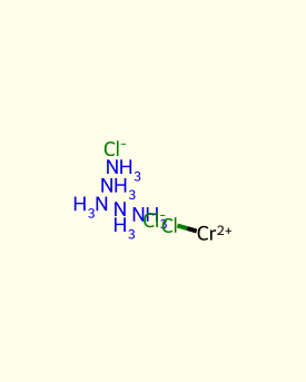 N.N.N.N.N.[Cl-].[Cl-].[Cl][Cr+2]